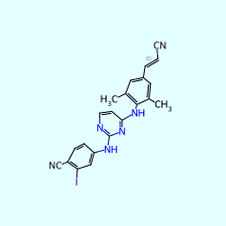 Cc1cc(/C=C/C#N)cc(C)c1Nc1ccnc(Nc2ccc(C#N)c(I)c2)n1